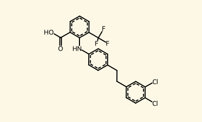 O=C(O)c1cccc(C(F)(F)F)c1Nc1ccc(CCc2ccc(Cl)c(Cl)c2)cc1